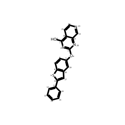 Oc1nc(Oc2ccc3sc(-c4ccccc4)cc3c2)nc2cnccc12